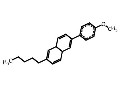 CCCCCC1=CC2C=CC(c3ccc(OC)cc3)=CC2C=C1